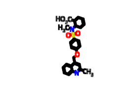 Cc1cc(COc2ccc(S(=O)(=O)N(C)C3CC=CCC3C(=O)O)cc2)c2ccccc2n1